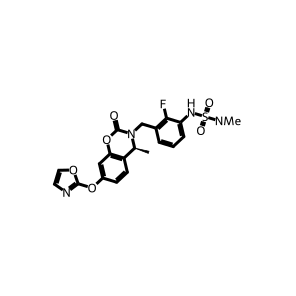 CNS(=O)(=O)Nc1cccc(CN2C(=O)Oc3cc(Oc4ncco4)ccc3[C@@H]2C)c1F